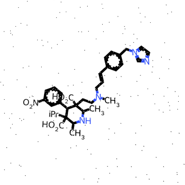 CC1NC(C)C(C(=O)O)(C(C)C)C(c2cccc([N+](=O)[O-])c2)C1(CCN(C)C/C=C/c1ccc(Cn2ccnc2)cc1)C(=O)O